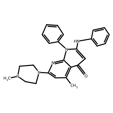 Cc1cc(N2CCN(C)CC2)nc2c1c(=O)cc(Nc1ccccc1)n2-c1ccccc1